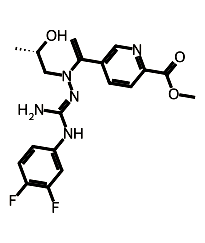 C=C(c1ccc(C(=O)OC)nc1)N(C[C@H](C)O)/N=C(\N)Nc1ccc(F)c(F)c1